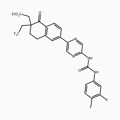 CCOC(=O)CC1(CC(F)(F)F)CCc2cc(-c3cnc(NC(=O)Nc4ccc(F)c(F)c4)cn3)ccc2C1=O